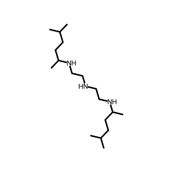 CC(C)CCC(C)NCCNCCNC(C)CCC(C)C